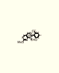 CSc1ncc(CBr)c(N(C=O)Nc2ccccc2Cl)n1